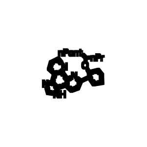 CCCCCC(CCC)Oc1ccccc1-c1ccc2c(n1)c1ncccc1c1nc[nH]c21